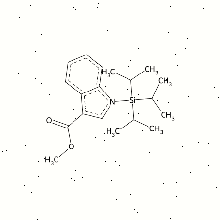 COC(=O)c1cn([Si](C(C)C)(C(C)C)C(C)C)c2ccccc12